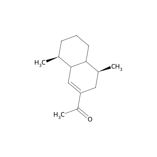 CC(=O)C1=CC2C(CCC[C@@H]2C)[C@@H](C)C1